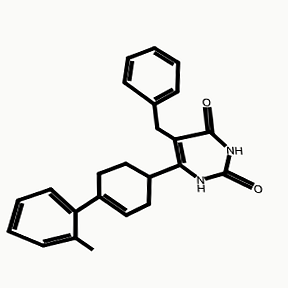 Cc1ccccc1C1=CCC(c2[nH]c(=O)[nH]c(=O)c2Cc2ccccc2)CC1